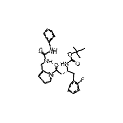 CC(C)(C)OC(=O)N[C@@H](CC(=O)N1CCC[C@H]1CNC(=O)Nc1ccccc1)Cc1ccccc1F